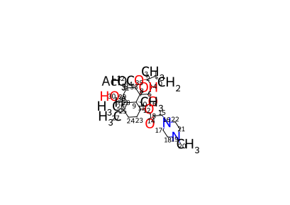 C=C[C@@]1(C)CC(=O)[C@]2(O)[C@@]3(C)[C@@H](OC(=O)CN4CCN(C)CC4)CCC(C)(C)[C@@H]3[C@H](O)[C@H](OC(C)=O)[C@@]2(C)O1